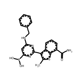 Cc1sc2c(C(N)=O)cccc2c1-c1nc(NCc2ccccc2)cc(B(O)O)n1